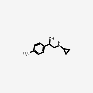 Cc1ccc(C(O)CNC2CC2)cc1